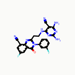 N#Cc1c(N)nc(N)nc1NCCc1nc2c(C#N)cc(F)cc2c(=O)n1-c1cccc(F)c1